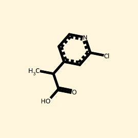 CC(C(=O)O)c1ccnc(Cl)c1